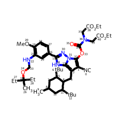 [C-]#[N+]c1c(CC2C(C(C)(C)C)CC(C)CC2C(C)(C)C)c2[nH]c(-c3ccc(OC)c(NCOC(C)(CC)CC)c3)nn2c1OC(=O)N(CC(=O)OCC)CC(=O)OCC